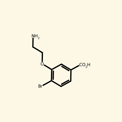 NCCOc1cc(C(=O)O)ccc1Br